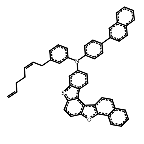 C=CCC/C=C\Cc1cccc(N(c2ccc(-c3ccc4ccccc4c3)cc2)c2ccc3c(c2)sc2ccc4oc5c6ccccc6ccc5c4c23)c1